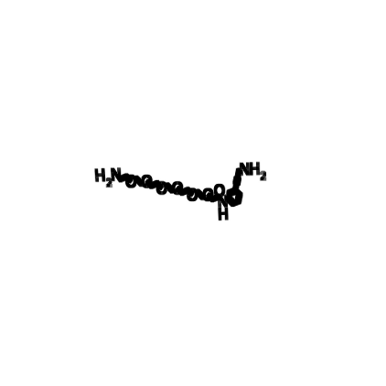 NCC#Cc1cccc(NC(=O)COCCOCCOCCOCCOCCOCCN)c1